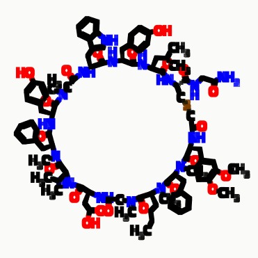 CCCC[C@H]1C(=O)N(C)CC(=O)N[C@@H](CC(=O)O)C(=O)N[C@@H](C(C)C)C(=O)N(C)[C@@H](Cc2ccccc2)C(=O)N[C@@H](Cc2ccc(O)cc2)C(=O)N(C)CC(=O)N[C@@H](Cc2c[nH]c3ccccc23)C(=O)N[C@@H](Cc2ccc(O)cc2)C(=O)N[C@@H](CC(C)C)C(=O)N[C@H](C(=O)NCC(N)=O)CSCC(=O)N[C@@H](Cc2ccc(OC)c(OC)c2)C(=O)N(C)[C@@H](Cc2ccccc2)C(=O)N1C